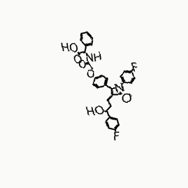 O=C(COc1ccc(C2C(CCC(O)c3ccc(F)cc3)C(=O)N2c2ccc(F)cc2)cc1)N[C@H](C(=O)O)c1ccccc1